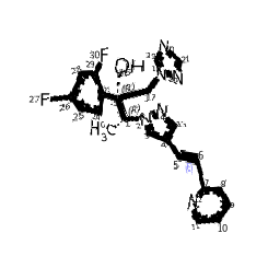 C[C@@H](n1cc(/C=C/c2ccccn2)cn1)[C@](O)(Cn1cncn1)c1ccc(F)cc1F